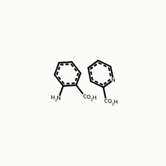 Nc1ccccc1C(=O)O.O=C(O)c1ccccn1